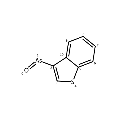 O=[As]c1csc2ccccc12